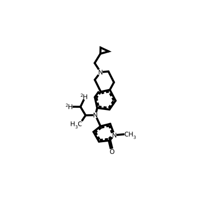 [2H]C([2H])C(C)N(c1ccc2c(c1)CN(CC1CC1)CC2)c1ccc(=O)n(C)c1